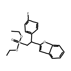 CCOP(=O)(CC(c1ccc(F)cc1)c1cc2ccccc2o1)OCC